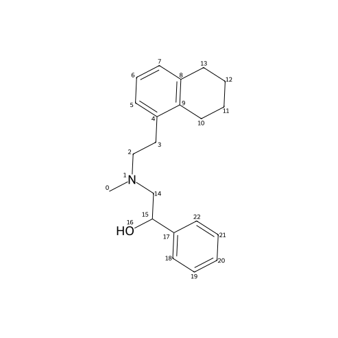 CN(CCc1cccc2c1CCCC2)CC(O)c1ccccc1